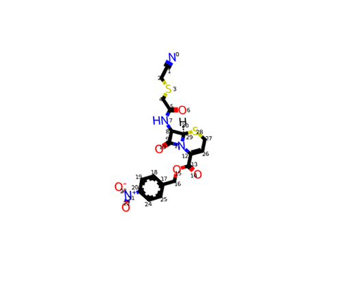 N#CCSCC(=O)NC1C(=O)N2C(C(=O)OCc3ccc([N+](=O)[O-])cc3)=CCS[C@H]12